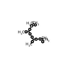 Cc1ccc(N(c2ccc(-c3ccc(N(c4ccc(C)cc4)c4ccc(C5C=CC6=C(C5)c5ccccc5C6(C)C)cc4)cc3)cc2)c2ccc(-c3ccc4c(c3)-c3ccccc3C4(C)C)cc2)cc1